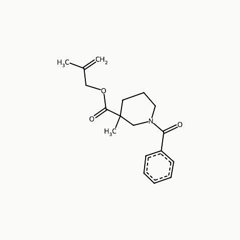 C=C(C)COC(=O)C1(C)CCCN(C(=O)c2ccccc2)C1